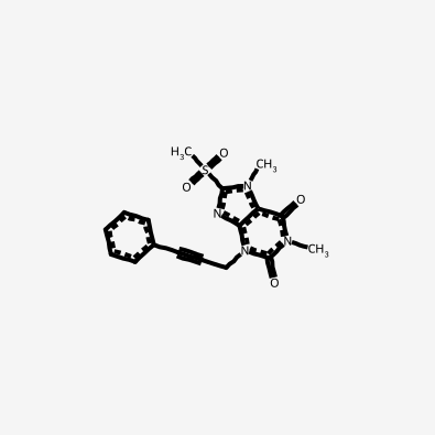 Cn1c(=O)c2c(nc(S(C)(=O)=O)n2C)n(CC#Cc2ccccc2)c1=O